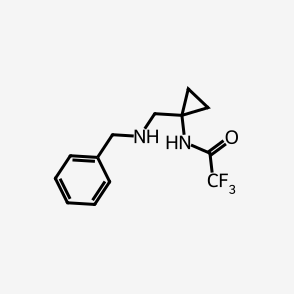 O=C(NC1(CNCc2ccccc2)CC1)C(F)(F)F